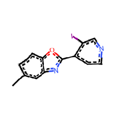 Cc1ccc2oc(-c3ccncc3I)nc2c1